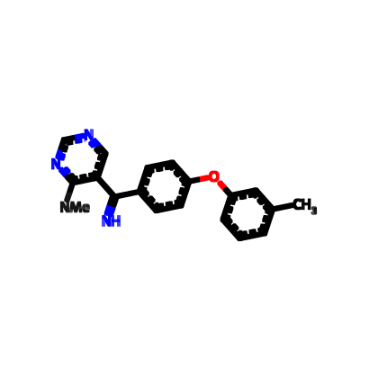 CNc1ncncc1C(=N)c1ccc(Oc2cccc(C)c2)cc1